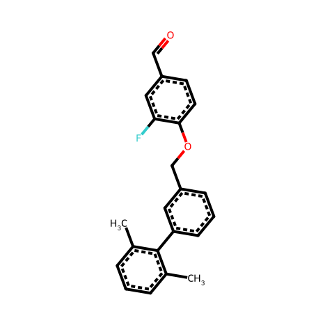 Cc1cccc(C)c1-c1cccc(COc2ccc(C=O)cc2F)c1